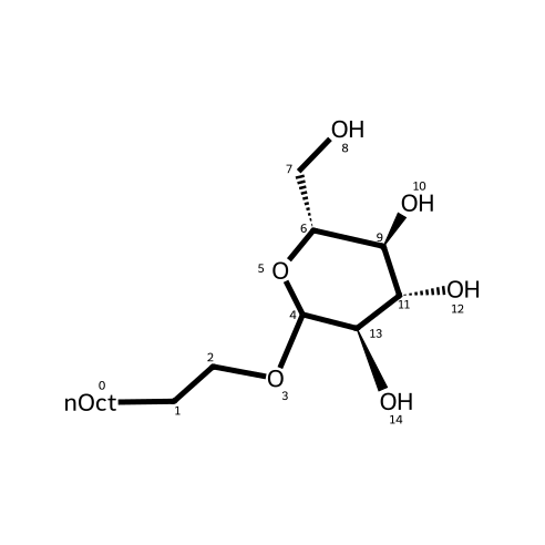 CCCCCCCCCCOC1O[C@H](CO)[C@@H](O)[C@H](O)[C@H]1O